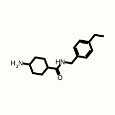 CCc1ccc(CNC(=O)C2CCC(N)CC2)cc1